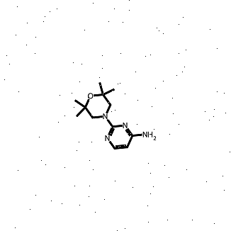 CC1(C)CN(c2nccc(N)n2)CC(C)(C)O1